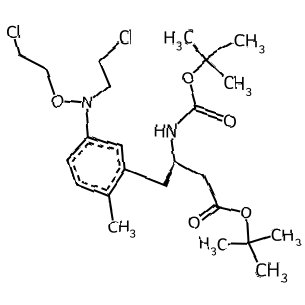 Cc1ccc(N(CCCl)OCCCl)cc1C[C@H](CC(=O)OC(C)(C)C)NC(=O)OC(C)(C)C